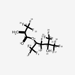 C=C(C(=O)OC(C(F)(F)F)C(F)(F)C(O)(C(F)(F)F)C(F)(F)F)C(F)(F)F